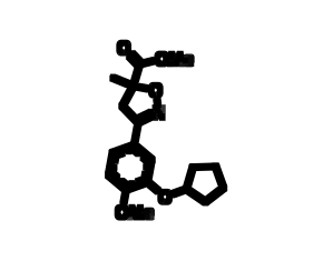 COC(=O)C1(C)CC(c2ccc(OC)c(OC3CCCC3)c2)=NO1